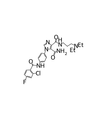 CCN(CC)CCCNC(=O)c1ncn(-c2ccc(NC(=O)c3ccc(F)cc3Cl)cc2)c1C(N)=O